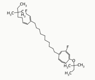 CCC(C)(C)CC/C=C\C(=C/CF)CCCCCCCCCC/C1=C/C(F)=C=C(OC(C)(C)CC)C=C=C1